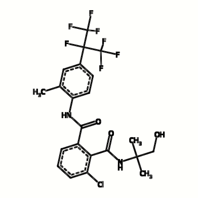 Cc1cc(C(F)(C(F)(F)F)C(F)(F)F)ccc1NC(=O)c1cccc(Cl)c1C(=O)NC(C)(C)CO